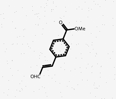 COC(=O)c1ccc(/C=C/C=O)cc1